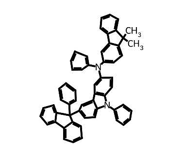 CC1(C)c2ccccc2-c2cc(N(c3ccccc3)c3ccc4c(c3)c3cc(C5(c6ccccc6)c6ccccc6-c6ccccc65)ccc3n4-c3ccccc3)ccc21